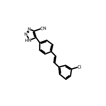 N#Cc1nn[nH]c1-c1ccc(C=Cc2cccc(Cl)c2)cc1